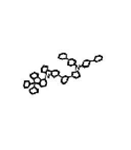 c1ccc(-c2ccc(N(c3ccc(-c4ccccc4)cc3)c3cccc(-c4cccc(-c5ccc6c7ccccc7n(-c7cccc8c7-c7ccccc7C8(c7ccccc7)c7ccccc7)c6c5)c4)c3)cc2)cc1